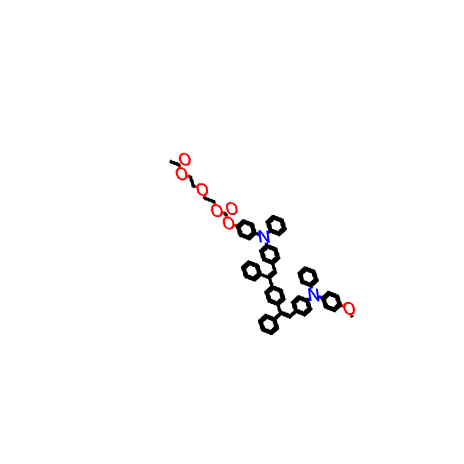 COc1ccc(N(c2ccccc2)c2ccc(C=C(c3ccccc3)c3ccc(C(=Cc4ccc(N(c5ccccc5)c5ccc(OC(=O)OCCOCCOC(C)=O)cc5)cc4)c4ccccc4)cc3)cc2)cc1